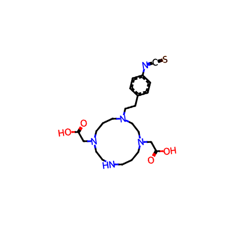 O=C(O)CN1CCCN(CCc2ccc(N=C=S)cc2)CCN(CC(=O)O)CCCNCC1